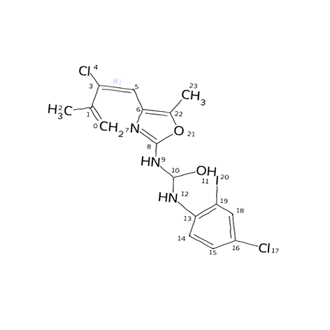 C=C(C)/C(Cl)=C\c1nc(NC(O)Nc2ccc(Cl)cc2I)oc1C